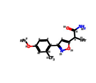 CCCOc1ccc(-c2cc(C(CCC)C(N)=O)on2)c(C(F)(F)F)c1